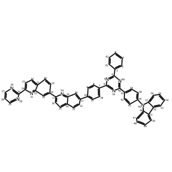 c1ccc(-c2nc(-c3ccc(-c4ccc5ccc(-c6ccc7ccc(-c8ncccn8)nc7c6)nc5c4)cc3)nc(-c3ccc(-n4c5ccccc5c5ccccc54)cc3)n2)cc1